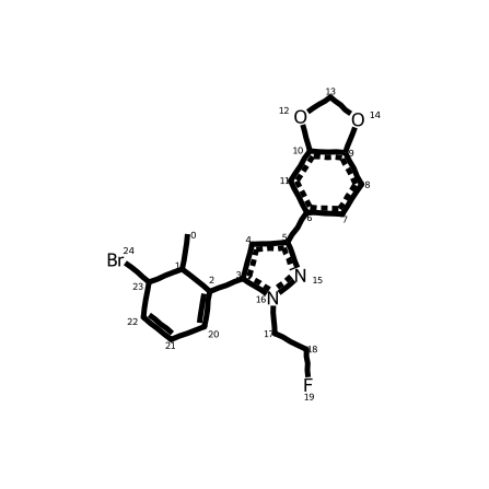 CC1C(c2cc(-c3ccc4c(c3)OCO4)nn2CCF)=CC=CC1Br